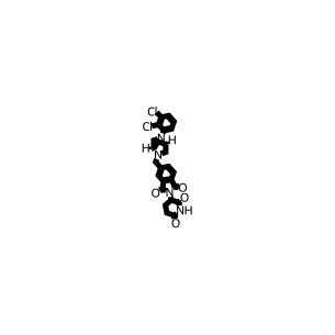 O=C1CCC(N2C(=O)c3ccc(CN4C[C@@H]5C[C@H]4CN5c4cccc(Cl)c4Cl)cc3C2=O)C(=O)N1